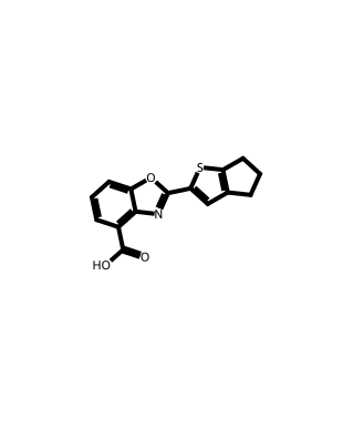 O=C(O)c1cccc2oc(-c3cc4c(s3)CCC4)nc12